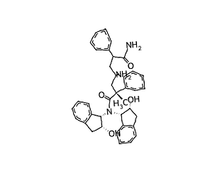 C[C@](C[C@H](N)CC(C(N)=O)c1ccccc1)(C(=O)N([C@H]1c2ccccc2C[C@H]1O)[C@H]1c2ccccc2C[C@H]1O)c1ccccc1